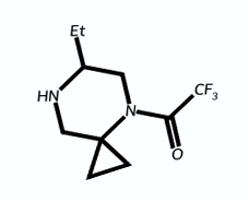 CCC1CN(C(=O)C(F)(F)F)C2(CC2)CN1